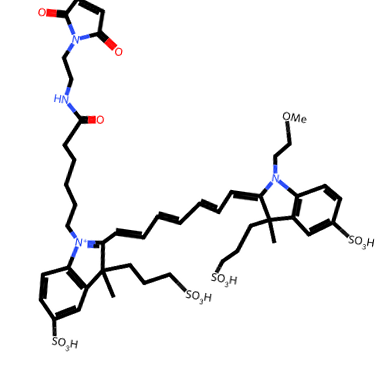 COCCN1/C(=C/C=C/C=C/C=C/C2=[N+](CCCCCC(=O)NCCN3C(=O)C=CC3=O)c3ccc(S(=O)(=O)O)cc3C2(C)CCCS(=O)(=O)O)C(C)(CCCS(=O)(=O)O)c2cc(S(=O)(=O)O)ccc21